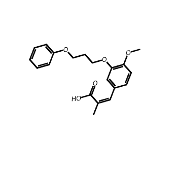 COc1ccc(C=C(C)C(=O)O)cc1OCCCOc1ccccc1